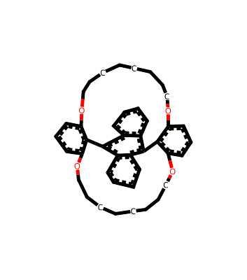 c1cc2c3c(c1)OCCCCCCCCOc1cccc(c1-c1c4ccccc4c-3c3ccccc13)OCCCCCCCCO2